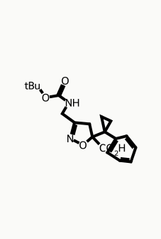 CC(C)(C)OC(=O)NCC1=NOC(C(=O)O)(C2(c3ccccc3)CC2)C1